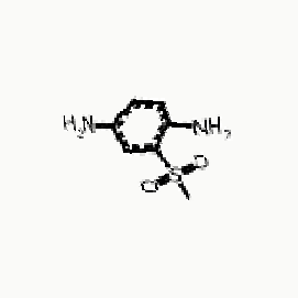 CS(=O)(=O)c1cc(N)ccc1N